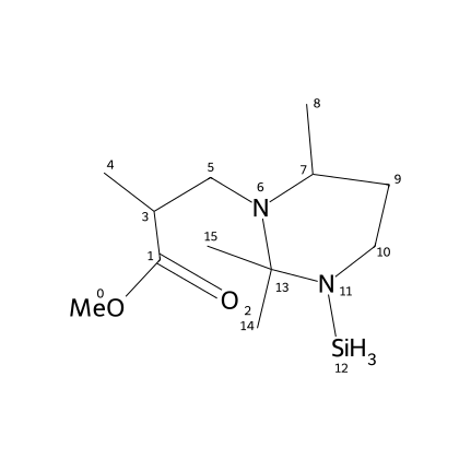 COC(=O)C(C)CN1C(C)CCN([SiH3])C1(C)C